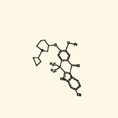 CC(C)Oc1cc2c(cc1OC1CCCN(C3CCC3)C1)C(C)(C)c1[nH]c3cc(C#N)ccc3c1C2=O